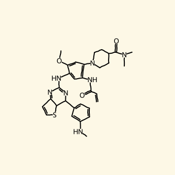 C=CC(=O)Nc1cc(NC2=NC(c3cccc(NC)c3)C3SC=CC3=N2)c(OC)cc1N1CCC(C(=O)N(C)C)CC1